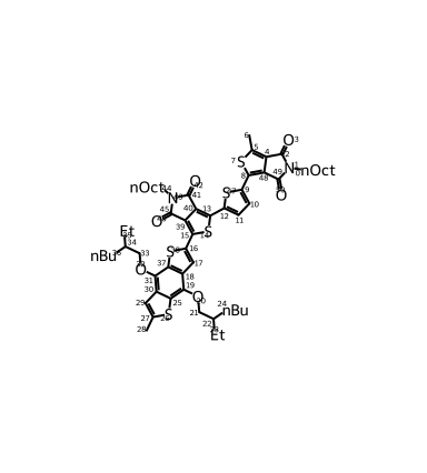 CCCCCCCCN1C(=O)c2c(C)sc(-c3ccc(-c4sc(-c5cc6c(OCC(CC)CCCC)c7sc(C)cc7c(OCC(CC)CCCC)c6s5)c5c4C(=O)N(CCCCCCCC)C5=O)s3)c2C1=O